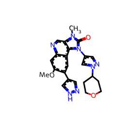 COc1cc2ncc3c(c2cc1-c1cn[nH]c1)n(-c1cnn(C2CCOCC2)c1)c(=O)n3C